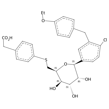 CCOc1ccc(Cc2cc([C@@H]3O[C@H](CSc4ccc(CC(=O)O)cc4)[C@H](O)[C@@H](O)[C@H]3O)ccc2Cl)cc1